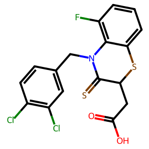 O=C(O)CC1Sc2cccc(F)c2N(Cc2ccc(Cl)c(Cl)c2)C1=S